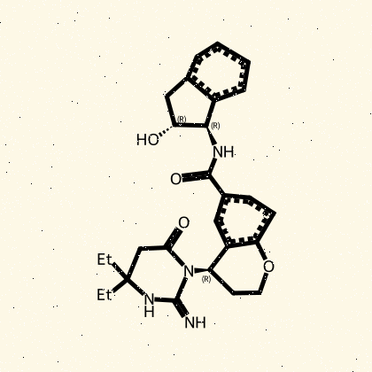 CCC1(CC)CC(=O)N([C@@H]2CCOc3ccc(C(=O)N[C@@H]4c5ccccc5C[C@H]4O)cc32)C(=N)N1